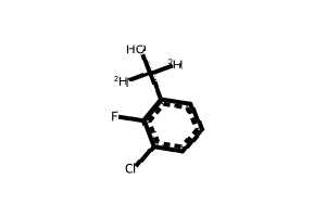 [2H]C([2H])(O)c1cccc(Cl)c1F